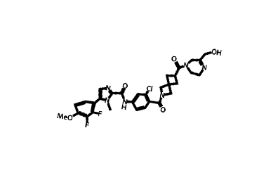 COc1ccc(-c2cnc(C(=O)Nc3ccc(C(=O)N4CC5(CC(C(=O)N6CCN=C(CO)C6)C5)C4)c(Cl)c3)n2C)c(F)c1F